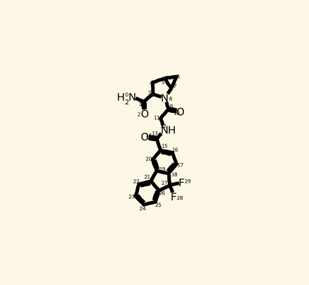 NC(=O)C1CC2CC2N1C(=O)CNC(=O)c1ccc2c(c1)-c1ccccc1C2(F)F